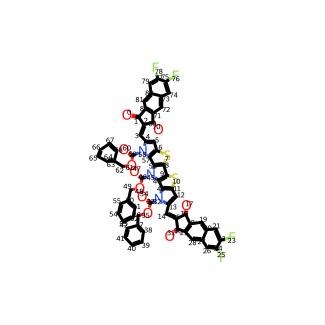 O=C1C(=Cc2cc3sc4c5sc6cc(C=C7C(=O)c8cc9cc(F)c(F)cc9cc8C7=O)n(C(=O)OCc7ccccc7)c6c5n(C(=O)OCc5ccccc5)c4c3n2C(=O)OCc2ccccc2)C(=O)c2cc3cc(F)c(F)cc3cc21